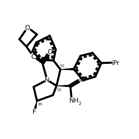 CC(C)c1ccc([C@H](c2ccccc2)[C@]2(C(N)=O)C[C@@H](F)CN2C(=O)CC2COC2)cc1